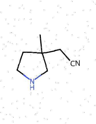 CC1(CC#N)CCNC1